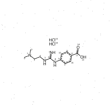 CN(C)CCNC(=N)Nc1ccc(C(=O)O)cc1.Cl.Cl